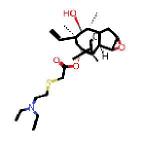 C=C[C@]1(C)C[C@@H](OC(=O)CSCCN(CC)CC)[C@]2(C)C(C)CC[C@]3(CC4OC4[C@H]32)[C@@H](C)[C@@H]1O